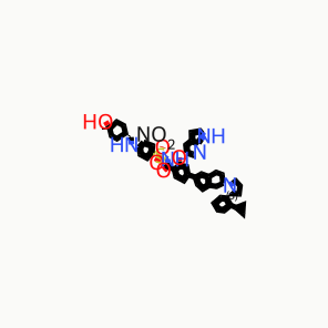 C[C@]1(O)CC[C@H](CNc2ccc(S(=O)(=O)NC(=O)c3ccc(-c4ccc5c(c4)CCC(N4CCC[C@H]4c4ccccc4C4CC4)C5)cc3Oc3cnc4[nH]ccc4c3)cc2[N+](=O)[O-])CC1